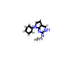 CCCN=c1nc2c(ccn2-c2ccccc2)c[nH]1